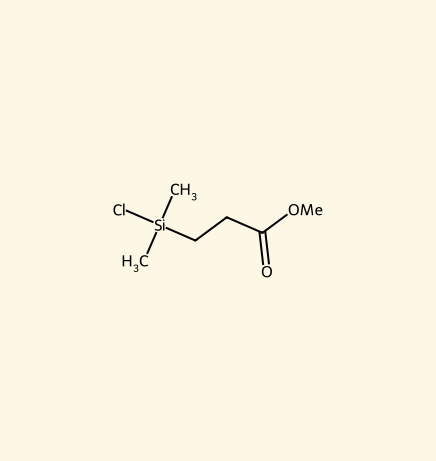 COC(=O)CC[Si](C)(C)Cl